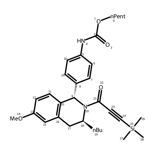 CCCCCOC(=O)Nc1ccc([C@H]2c3ccc(OC)cc3C[C@H](CCCC)N2C(=O)C#C[Si](C)(C)C)cc1